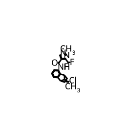 C/C(Cl)=C1\C2CCC1c1c(NC(=O)c3cn(C)nc3C(F)F)cccc12